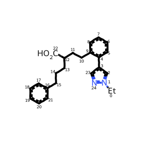 CCn1cc(-c2ccccc2CCC(CCCc2ccccc2)C(=O)O)cn1